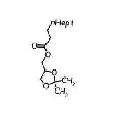 CCCCCCCCCC(=O)OCC1COC(C)(C)O1